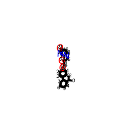 CC(C)c1ccccc1-c1ccc(OCC2Cn3ccc(=O)nc3O2)cc1